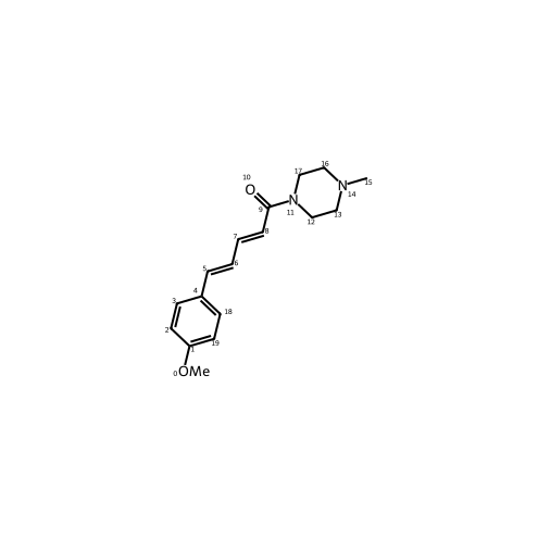 COc1ccc(/C=C/C=C/C(=O)N2CCN(C)CC2)cc1